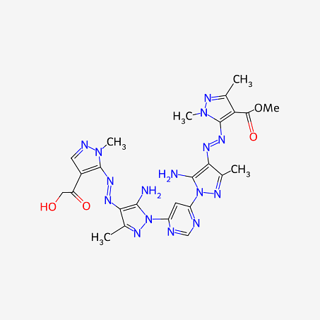 COC(=O)c1c(C)nn(C)c1N=Nc1c(C)nn(-c2cc(-n3nc(C)c(N=Nc4c(C(=O)CO)cnn4C)c3N)ncn2)c1N